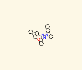 c1ccc2c(c1)-c1cccc3c(-c4nc(-n5c6ccccc6c6cc7ccccc7cc65)nc5c4oc4ccccc45)ccc-2c13